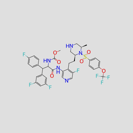 COC(=O)NC(C(=O)Nc1cncc(F)c1CC[C@H]1CNC[C@@H](C)N1S(=O)(=O)c1ccc(OC(F)(F)F)cc1)C(c1ccc(F)cc1)c1cc(F)cc(F)c1